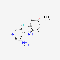 COc1ccc(Nc2ccncc2N)c(F)c1